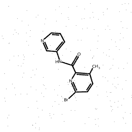 Cc1ccc(Br)nc1C(=O)Nc1cccnc1